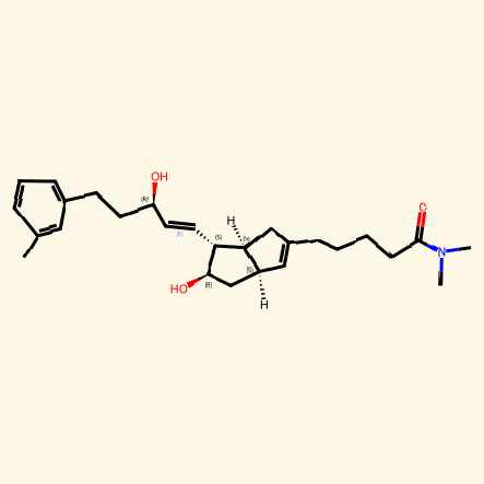 Cc1cccc(CC[C@@H](O)/C=C/[C@@H]2[C@H]3CC(CCCCC(=O)N(C)C)=C[C@H]3C[C@H]2O)c1